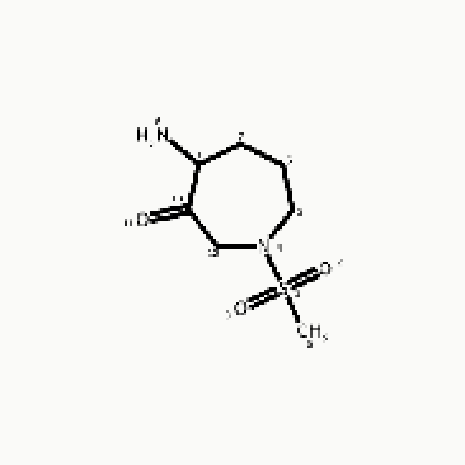 CS(=O)(=O)N1CCCC(N)C(=O)C1